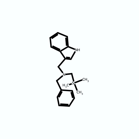 C[Si](C)(C)CN(Cc1ccccc1)Cc1c[nH]c2ccccc12